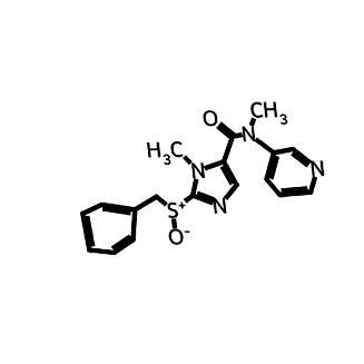 CN(C(=O)c1cnc([S+]([O-])Cc2ccccc2)n1C)c1cccnc1